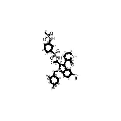 COc1ccc2c(c1)c(-c1ccc[nH]c1=O)c(C(=O)NS(=O)(=O)c1cccc(NS(C)(=O)=O)c1)n2Cc1ccc(F)cc1F